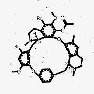 COc1cc(Br)c2cc1Oc1ccc(cc1)C[C@H]1c3cc(c(C)cc3CCN1C)Oc1c(OC(C)=O)c(OC)c(Br)c3c1[C@H](C2)N(C)CC3